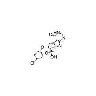 O=c1[nH]cnc2nc(CP(=O)(O)O)n(CCOc3ccc(Cl)cc3)c12